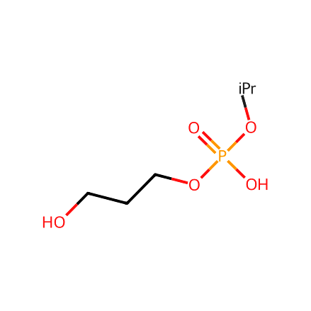 CC(C)OP(=O)(O)OCCCO